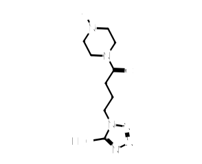 Cc1nnnn1CCCC(=O)N1CCN(C)CC1